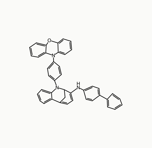 C1=C2CC(C(Nc3ccc(-c4ccccc4)cc3)=C1)N(c1ccc(N3c4ccccc4Oc4ccccc43)cc1)c1ccccc12